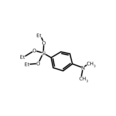 CCO[Si](OCC)(OCC)c1ccc(N(C)C)cc1